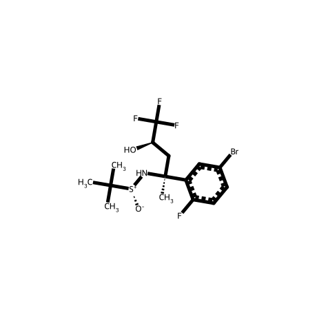 CC(C)(C)[S@@+]([O-])N[C@@](C)(C[C@@H](O)C(F)(F)F)c1cc(Br)ccc1F